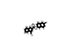 Cc1ccc2cc(OC(=O)c3cc(C)c4ccccc4c3)ccc2c1